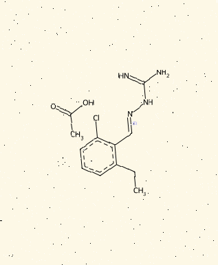 CC(=O)O.CCc1cccc(Cl)c1/C=N/NC(=N)N